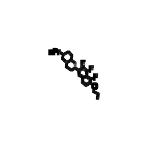 C=CCOc1ccc2cc(C3CCC4CC(CCC)CCC4C3)c(F)c(F)c2c1F